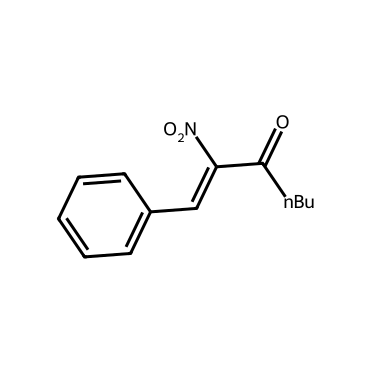 CCCCC(=O)/C(=C/c1ccccc1)[N+](=O)[O-]